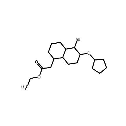 CCOC(=O)CC1CCCC2C(Br)C(OC3CCCC3)CCC12